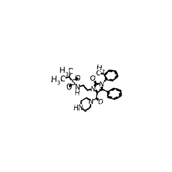 Cc1ccccc1-n1c(-c2ccccc2)c(C(=O)N2CCNCC2)n(CCNS(=O)(=O)C(C)C)c1=O